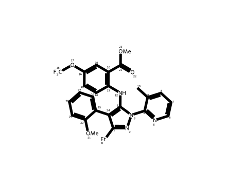 CCc1nn(-c2ncccc2C)c(Nc2ccc(OC(F)(F)F)cc2C(=O)OC)c1-c1ccccc1OC